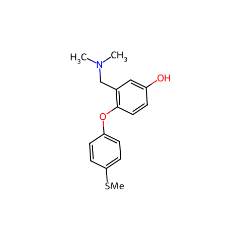 CSc1ccc(Oc2ccc(O)cc2CN(C)C)cc1